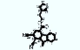 C=C1c2ccccc2-c2c(C(=O)OCCc3ccsc3)cc(C#N)c(C#N)c21